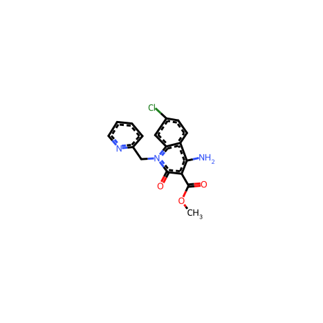 COC(=O)c1c(N)c2ccc(Cl)cc2n(Cc2ccccn2)c1=O